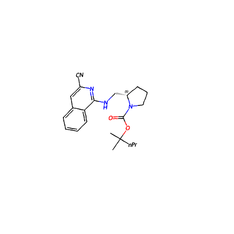 CCCC(C)(C)OC(=O)N1CCC[C@H]1CNc1nc(C#N)cc2ccccc12